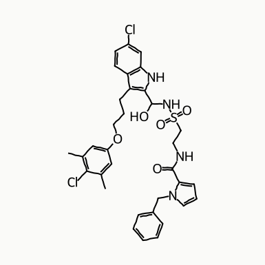 Cc1cc(OCCCc2c(C(O)NS(=O)(=O)CCNC(=O)c3cccn3Cc3ccccc3)[nH]c3cc(Cl)ccc23)cc(C)c1Cl